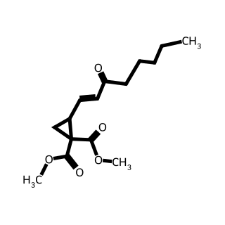 CCCCCC(=O)C=CC1CC1(C(=O)OC)C(=O)OC